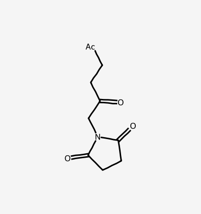 CC(=O)CCC(=O)CN1C(=O)CCC1=O